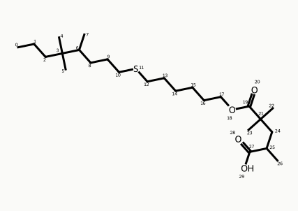 CCCC(C)(C)C(C)CCCSCCCCCCOC(=O)C(C)(C)CC(C)C(=O)O